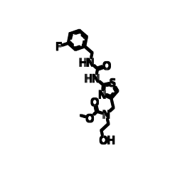 COC(=O)N(CCO)Cc1csc(NC(=O)NCc2cccc(F)c2)n1